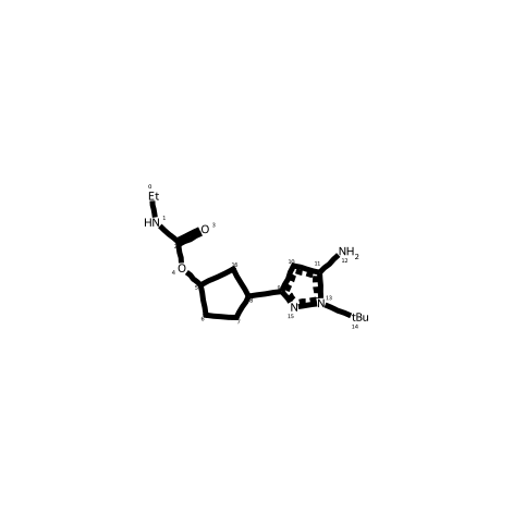 CCNC(=O)OC1CCC(c2cc(N)n(C(C)(C)C)n2)C1